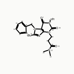 CCCn1c(=O)c2c(nc(C(C)(C)C)n2Cc2ccccc2)n(CCC(=O)N(C)C)c1=O